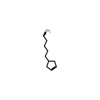 C=CCCCCC1CC=CC1